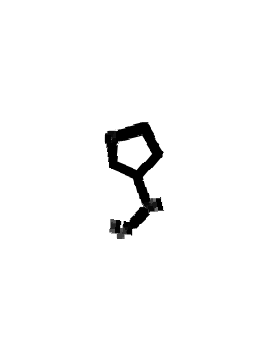 NNC1CCOC1